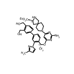 CCOC(=O)[C@@H]1CC2(CCN(c3cc(O[C@@H](c4ccc(-c5ccc(CO)c(CO)c5)cc4-n4ccc(C)n4)C(F)(F)F)nc(N)n3)CC2)CN1